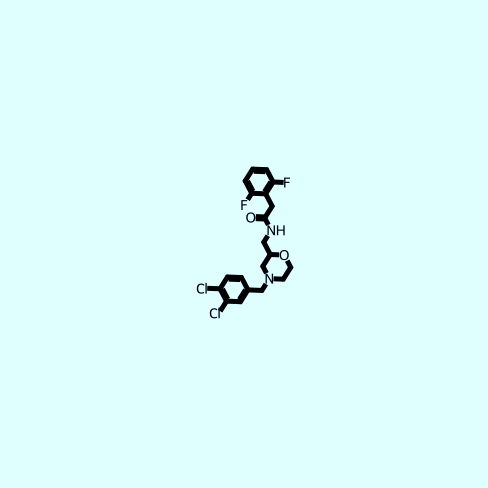 O=C(Cc1c(F)cccc1F)NCC1CN(Cc2ccc(Cl)c(Cl)c2)CCO1